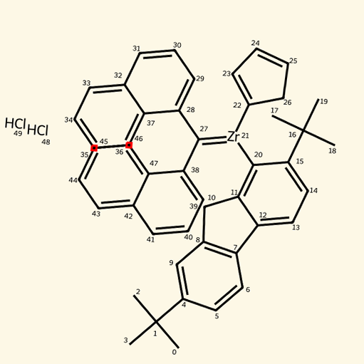 CC(C)(C)c1ccc2c(c1)Cc1c-2ccc(C(C)(C)C)[c]1[Zr]([C]1=CC=CC1)=[C](c1cccc2ccccc12)c1cccc2ccccc12.Cl.Cl